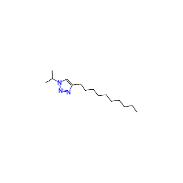 CCCCCCCCCCc1cn(C(C)C)nn1